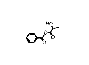 CC(O)C(=O)OC(=O)c1ccccc1